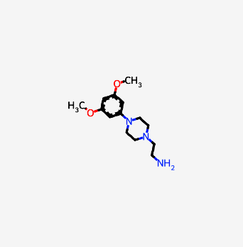 COc1cc(OC)cc(N2CCN(CCN)CC2)c1